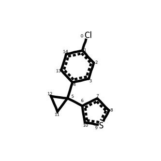 Clc1ccc(C2(c3ccsc3)CC2)cc1